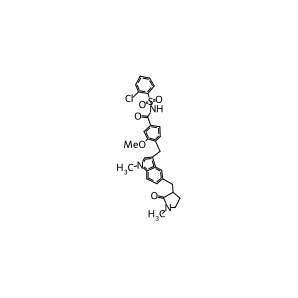 COc1cc(C(=O)NS(=O)(=O)c2ccccc2Cl)ccc1Cc1cn(C)c2ccc(CC3CCN(C)C3=O)cc12